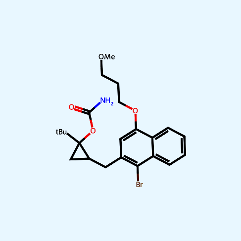 COCCCOc1cc(CC2CC2(OC(N)=O)C(C)(C)C)c(Br)c2ccccc12